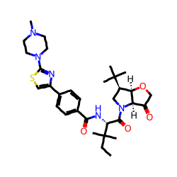 CCC(C)(C)[C@H](NC(=O)c1ccc(-c2csc(N3CCN(C)CC3)n2)cc1)C(=O)N1C[C@@H](C(C)(C)C)[C@H]2OCC(=O)[C@H]21